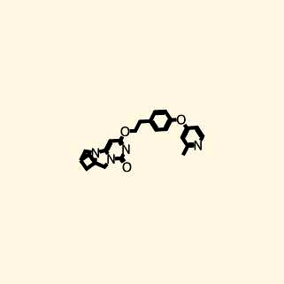 Cc1cc(Oc2ccc(CCOc3cc4n(c(=O)n3)CC35CC(CN43)C5)cc2)ccn1